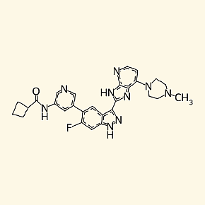 CN1CCN(c2ccnc3[nH]c(-c4n[nH]c5cc(F)c(-c6cncc(NC(=O)C7CCC7)c6)cc45)nc23)CC1